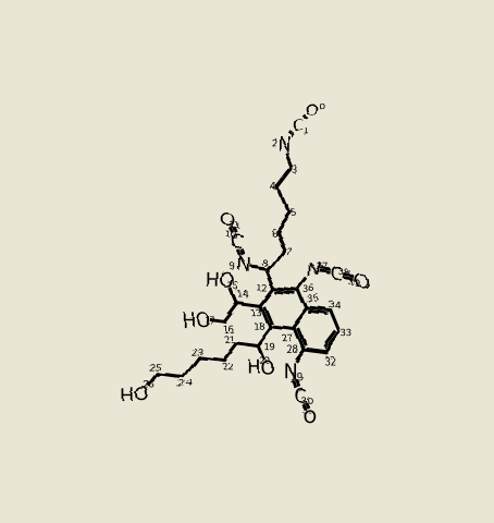 O=C=NCCCCCC(N=C=O)c1c(C(O)CO)c(C(O)CCCCCO)c2c(N=C=O)cccc2c1N=C=O